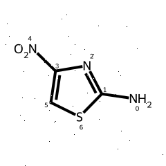 Nc1nc([N+](=O)[O-])cs1